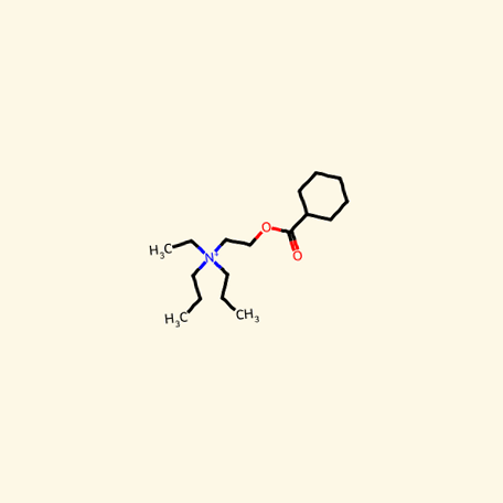 CCC[N+](CC)(CCC)CCOC(=O)C1CCCCC1